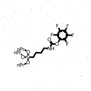 CCCO[Si](CCCCNC(=O)Oc1c(F)c(F)c(F)c(F)c1F)(OCCC)OCCC